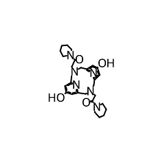 O=C(CN1Cc2cc(O)cc(n2)CN(CC(=O)N2CCCCC2)Cc2cc(O)cc(n2)C1)N1CCCCC1